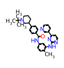 Cc1ccc(NC(=O)c2ccc(C3CCCN(C(C)(C)C)C3)cc2)cc1Nc1nccc(-c2cccnc2)n1